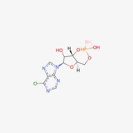 B[PH]1(O)OC[C@H]2O[C@@H](n3cnc4c(Cl)ncnc43)C(O)[C@@H]2O1